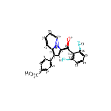 O=C(O)c1ccc(-c2cc(C(=O)c3c(F)cccc3F)n3ccccc23)cc1